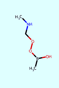 CNCOOB(C)O